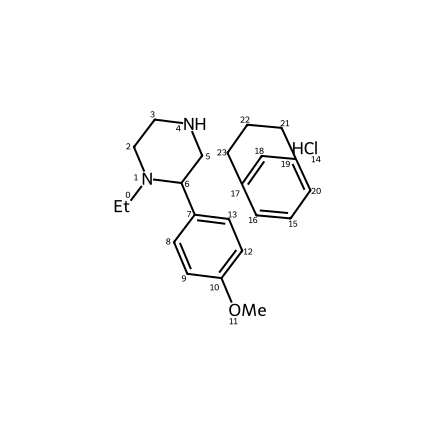 CCN1CCNCC1c1ccc(OC)cc1.Cl.c1cc2cc(c1)CCC2